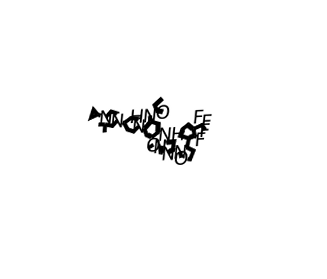 C=CC(=O)Nc1cc(Nc2cc(N3OCCC3c3cccc(C(F)(F)F)c3F)ncn2)c(OC)cc1N1CCC(N2CCN(C3CC3)C(C)(C)C2)CC1